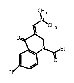 CCC(=O)N1CC(=CN(C)C)C(=O)c2cc(Cl)ccc21